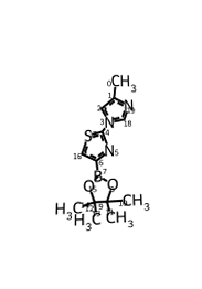 Cc1cn(-c2nc(B3OC(C)(C)C(C)(C)O3)cs2)cn1